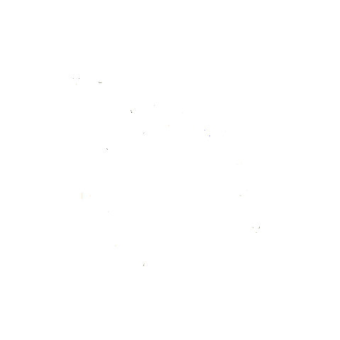 CO[C@H]1CCC[C@@H](C[C@@H](C)[C@@H]2CC(=O)[C@H](C)/C=C(\C)[C@@H](O)CC(=O)[C@H](C)C[C@H](C)/C=C/C=C/C=C(\C)[C@@H](OC)C[C@@H]3CC[C@@H](C)[C@@](O)(O3)C(=O)C(=O)N3CCCC[C@H]3C(=O)O2)C1